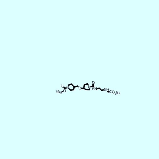 CCOC(=O)CNCCNC(=O)N1CCC(OCC2CCN(C(=O)OC(C)(C)C)CC2)CC1